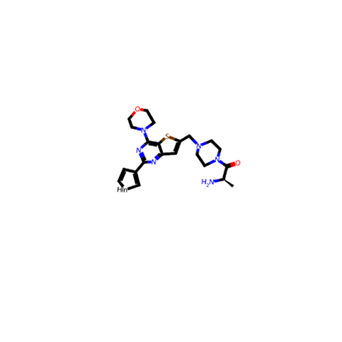 C[C@@H](N)C(=O)N1CCN(Cc2cc3nc(C4=[CH][InH][CH]=C4)nc(N4CCOCC4)c3s2)CC1